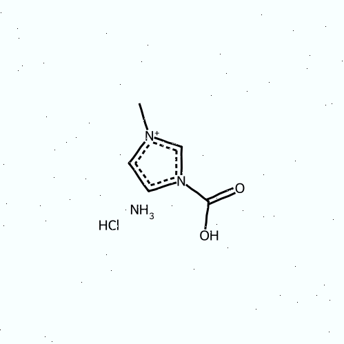 C[n+]1ccn(C(=O)O)c1.Cl.N